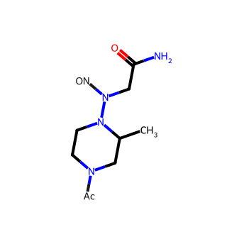 CC(=O)N1CCN(N(CC(N)=O)N=O)C(C)C1